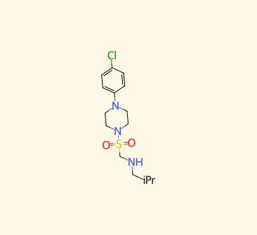 CC(C)CNCS(=O)(=O)N1CCN(c2ccc(Cl)cc2)CC1